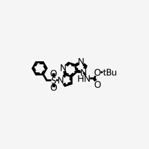 CC(C)(C)OC(=O)Nn1cnc2cnc3c(ccn3S(=O)(=O)Cc3ccccc3)c21